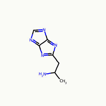 CC(N)CC1=NC2=NC=NC2=N1